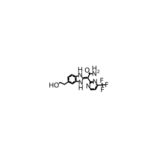 NC(=O)/C(=C1\Nc2ccc(CCO)cc2N1)c1nccc(C(F)(F)F)n1